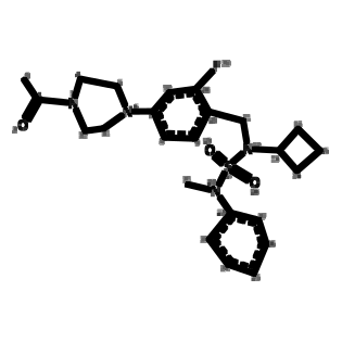 CC(=O)N1CCN(c2ccc(CN(C3CCC3)S(=O)(=O)N(C)c3ccccc3)c(F)c2)CC1